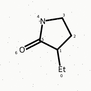 CCC1CC[N]C1=O